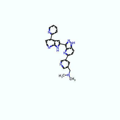 CN(C)Cc1cncc(-c2ccc3[nH]nc(-c4cc5c(-c6ccccn6)ccnc5[nH]4)c3n2)c1